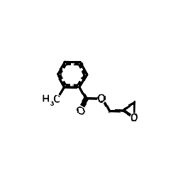 Cc1ccccc1C(=O)OCC1CO1